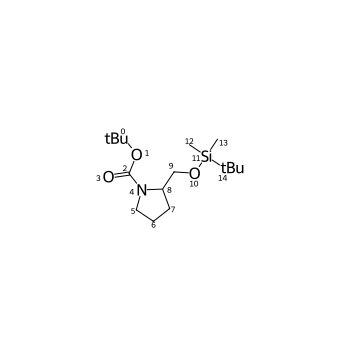 CC(C)(C)OC(=O)N1CCCC1CO[Si](C)(C)C(C)(C)C